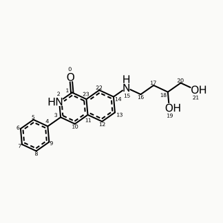 O=c1[nH]c(-c2ccccc2)cc2ccc(NCCC(O)CO)cc12